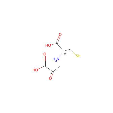 CC(=O)C(=O)O.N[C@@H](CS)C(=O)O